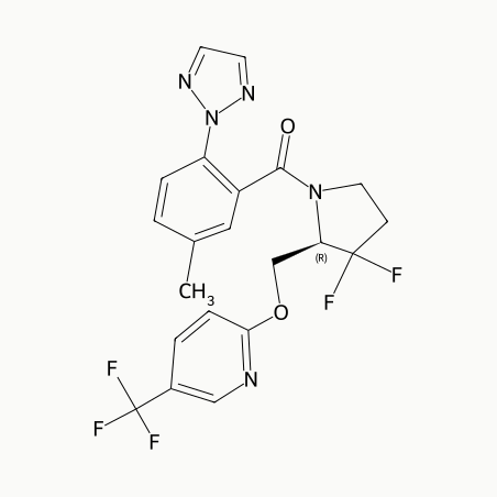 Cc1ccc(-n2nccn2)c(C(=O)N2CCC(F)(F)[C@H]2COc2ccc(C(F)(F)F)cn2)c1